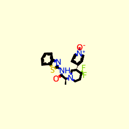 C[C@@H](C(=O)Nc1nc2ccccc2s1)N1CCC(F)(F)[C@@H](c2cc[n+]([O-])cc2)C1